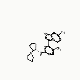 N#Cc1ccc2c(-c3nc(N[C@H]4CCC[C@@H]4N4CCCC4)ncc3C(F)(F)F)c[nH]c2c1